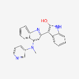 CN(c1cccnc1)c1cc(-c2c(O)[nH]c3ccccc23)nc2ccccc12